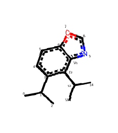 CC(C)c1ccc2ocnc2c1C(C)C